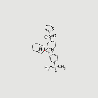 CC(C)(F)c1ccc(N2CCN(S(=O)(=O)c3cccs3)C[C@@H]2CN2C3CCCC2CC(F)C3)cc1